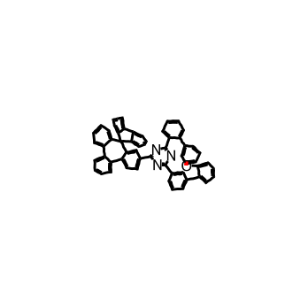 c1ccc(-c2ccccc2-c2nc(-c3ccc4c(c3)C3(c5ccccc5-c5ccccc5-4)c4ccccc4-c4ccccc43)nc(-c3cccc4c3oc3ccccc34)n2)cc1